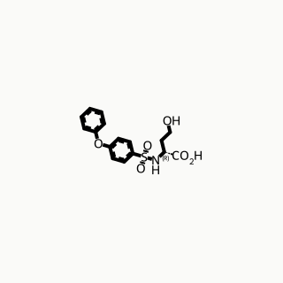 O=C(O)[C@@H](CCO)NS(=O)(=O)c1ccc(Oc2ccccc2)cc1